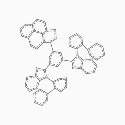 c1ccc(-c2ccccc2-n2c(-c3cc(-c4ccc5ccc6cccc7ccc4c5c67)cc(-c4nc5cccnc5n4-c4ccccc4-c4ccccc4)c3)nc3cccnc32)cc1